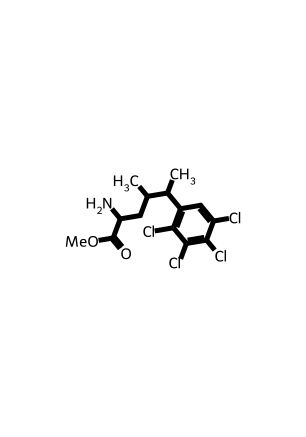 COC(=O)C(N)CC(C)C(C)c1cc(Cl)c(Cl)c(Cl)c1Cl